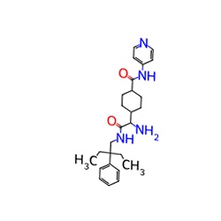 CCC(CC)(CNC(=O)C(N)C1CCC(C(=O)Nc2ccncc2)CC1)c1ccccc1